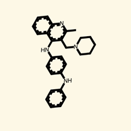 Cc1nc2ccccc2c(Nc2ccc(Nc3ccccc3)cc2)c1CN1CCCCC1